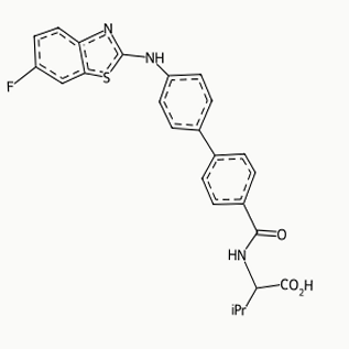 CC(C)C(NC(=O)c1ccc(-c2ccc(Nc3nc4ccc(F)cc4s3)cc2)cc1)C(=O)O